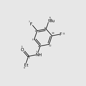 CCC(=O)Nc1cc(F)c(C(C)(C)C)c(F)c1